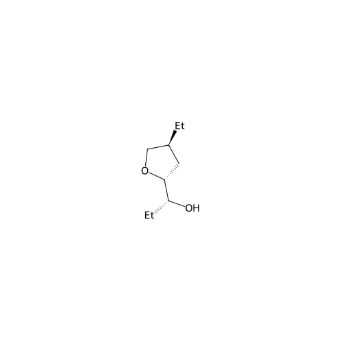 CC[C@@H]1CO[C@@H]([C@H](O)CC)C1